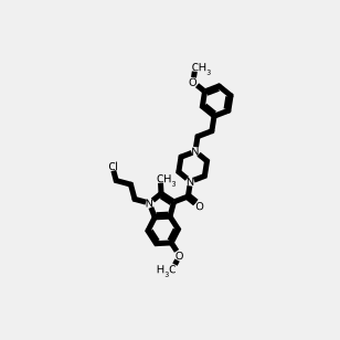 COc1cccc(CCN2CCN(C(=O)c3c(C)n(CCCCl)c4ccc(OC)cc34)CC2)c1